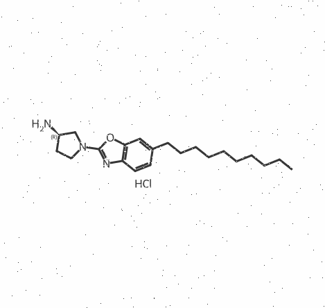 CCCCCCCCCCc1ccc2nc(N3CC[C@@H](N)C3)oc2c1.Cl